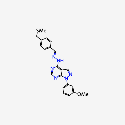 COc1cccc(-n2ncc3c(N/N=C/c4ccc(CSC)cc4)ncnc32)c1